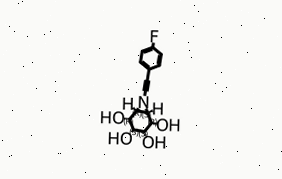 O[C@@H]1[C@@H](O)[C@H](O)[C@H]2[C@@H]([C@H]1O)N2C#Cc1ccc(F)cc1